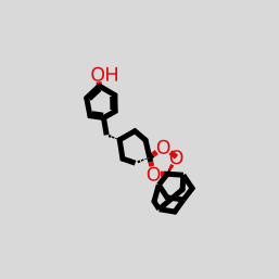 Oc1ccc(C[C@H]2CC[C@]3(CC2)OO[C@]2(O3)C3CC4CC(C3)CC2C4)cc1